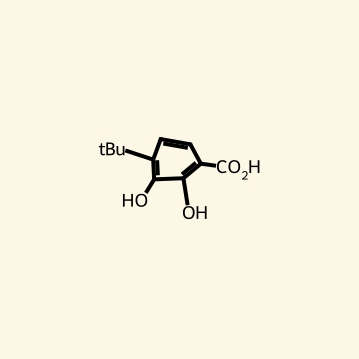 CC(C)(C)c1ccc(C(=O)O)c(O)c1O